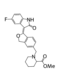 COC(=O)C1CCCCN1Cc1ccc2c(c1)CO/C2=C1/C(=O)Nc2ccc(F)cc21